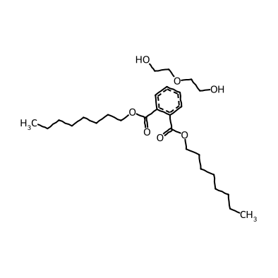 CCCCCCCCOC(=O)c1ccccc1C(=O)OCCCCCCCC.OCCOCCO